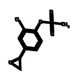 CS(=O)(=O)Oc1ccc(C2CO2)cc1Cl